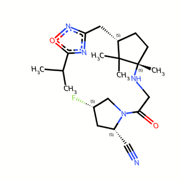 CC(C)c1nc(C[C@@H]2CC[C@](C)(NCC(=O)N3C[C@@H](F)C[C@H]3C#N)C2(C)C)no1